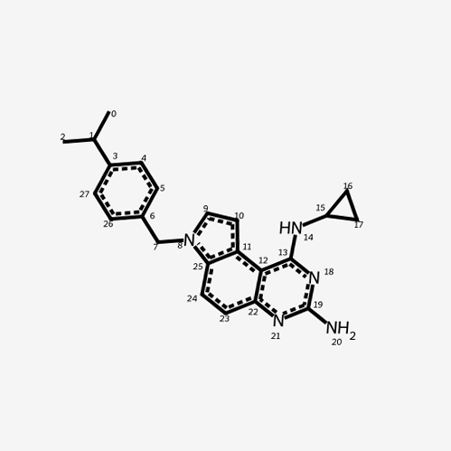 CC(C)c1ccc(Cn2ccc3c4c(NC5CC5)nc(N)nc4ccc32)cc1